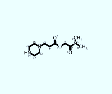 CN(C)C(=O)COC(=O)CCN1CCNCC1